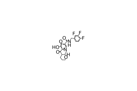 C[C@@]12CCCO[C@@H]1Cn1cc(C(=O)NCc3ccc(F)c(F)c3F)c(=O)c(O)c1C2=O